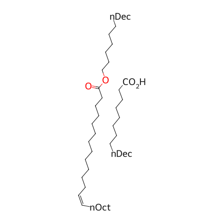 CCCCCCCC/C=C\CCCCCCCCCCCC(=O)OCCCCCCCCCCCCCCCC.CCCCCCCCCCCCCCCCCC(=O)O